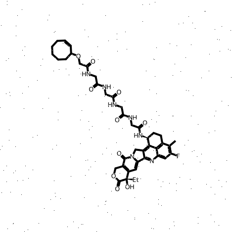 CC[C@@]1(O)C(=O)OCc2c1cc1n(c2=O)Cc2c-1nc1cc(F)c(C)c3c1c2[C@@H](NC(=O)CNC(=O)CNC(=O)CNC(=O)CNC(=O)COC1/C=C\CCCCC1)CC3